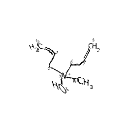 C=CC[N+](C)(O)CC=C